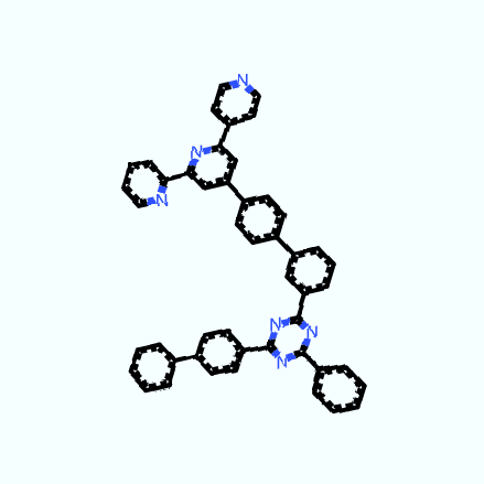 c1ccc(-c2ccc(-c3nc(-c4ccccc4)nc(-c4cccc(-c5ccc(-c6cc(-c7ccncc7)nc(-c7ccccn7)c6)cc5)c4)n3)cc2)cc1